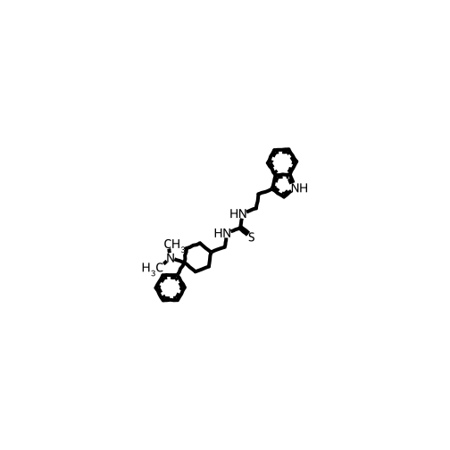 CN(C)C1(c2ccccc2)CCC(CNC(=S)NCCc2c[nH]c3ccccc23)CC1